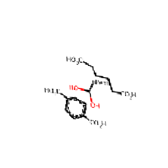 CCCCCC(O)O.O=C(O)CCCCC(=O)O.O=C(O)c1ccc(C(=O)O)cc1